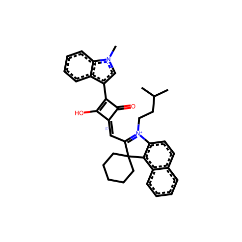 CC(C)CC[N+]1=C(/C=C2\C(=O)C(c3cn(C)c4ccccc34)=C2O)C2(CCCCC2)c2c1ccc1ccccc21